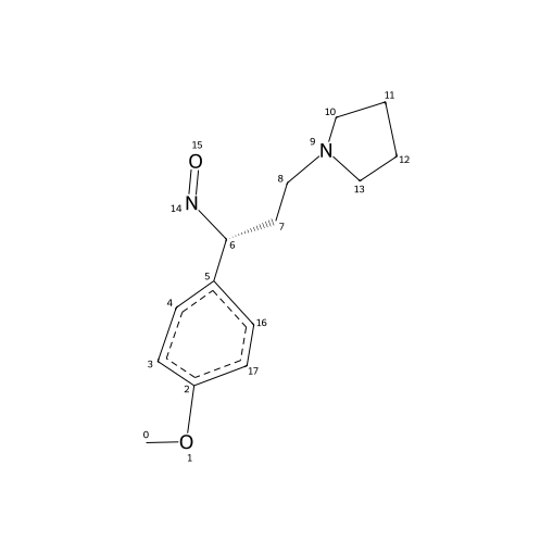 COc1ccc([C@@H](CCN2CCCC2)N=O)cc1